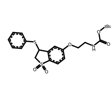 CC(C)(C)OC(=O)NCCOc1ccc2c(c1)C(Sc1ccccc1)CS2(=O)=O